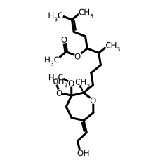 COC1(OC)CC/C(=C\CO)CO[C@@]1(C)CCCC(C)C(CC=C(C)C)OC(C)=O